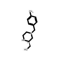 Cc1ccc(CN2CCN[C@H](CO)C2)cc1